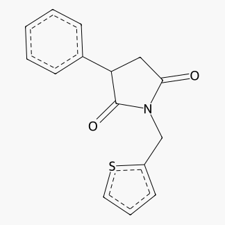 O=C1CC(c2ccccc2)C(=O)N1Cc1cccs1